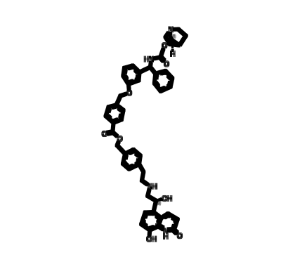 O=C(NC(c1ccccc1)c1cccc(OCc2ccc(C(=O)OCc3ccc(CCNC[C@@H](O)c4ccc(O)c5[nH]c(=O)ccc45)cc3)cc2)c1)O[C@H]1CN2CCC1CC2